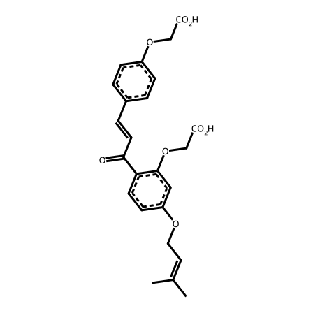 CC(C)=CCOc1ccc(C(=O)C=Cc2ccc(OCC(=O)O)cc2)c(OCC(=O)O)c1